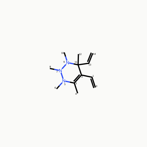 C=CC1=C(C)N(C)N(C)N(C)C1(C)C=C